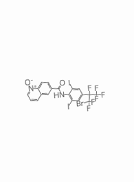 O=C(Nc1c(I)cc(C(F)(C(F)(F)F)C(F)(F)Br)cc1I)c1ccc2c(ccc[n+]2[O-])c1